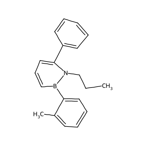 CCCN1B(c2ccccc2C)C=CC=C1c1ccccc1